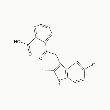 Cc1[nH]c2ccc(Cl)cc2c1CC(=O)c1ccccc1C(=O)O